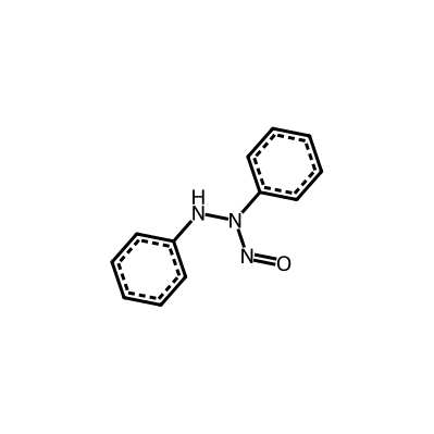 O=NN(Nc1ccccc1)c1ccccc1